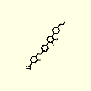 C/C=C/C1CCC(c2ccc(-c3ccc(CCC4CCC(C5CO5)C=C4F)cc3)c(F)c2F)CC1